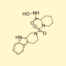 O=C(NO)[C@H]1CCCCN1S(=O)(=O)N1CCc2c([nH]c3ccccc23)C1